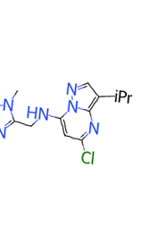 CC(C)c1cnn2c(NCc3nccn3C)cc(Cl)nc12